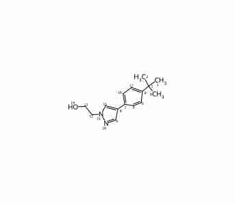 CC(C)(C)c1ccc(-c2cnn(CCO)c2)cc1